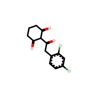 O=C1CCCC(=O)C1C(=O)Cc1ccc(Cl)cc1Cl